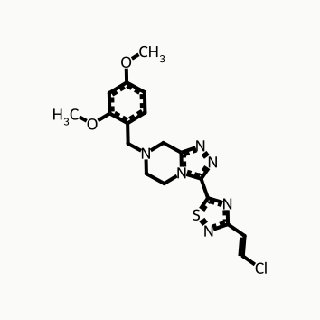 COc1ccc(CN2CCn3c(nnc3-c3nc(/C=C/Cl)ns3)C2)c(OC)c1